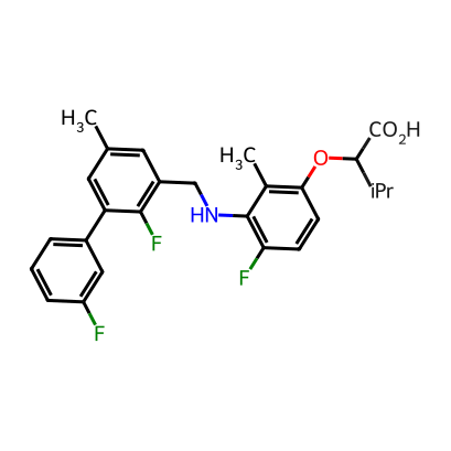 Cc1cc(CNc2c(F)ccc(OC(C(=O)O)C(C)C)c2C)c(F)c(-c2cccc(F)c2)c1